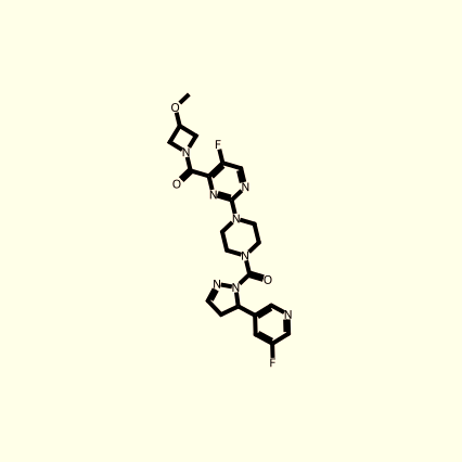 COC1CN(C(=O)c2nc(N3CCN(C(=O)N4N=CCC4c4cncc(F)c4)CC3)ncc2F)C1